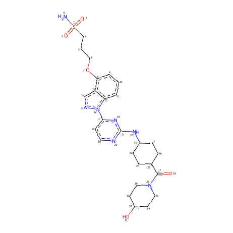 NS(=O)(=O)CCCOc1cccc2c1cnn2-c1ccnc(NC2CCC(C(=O)N3CCC(O)CC3)CC2)n1